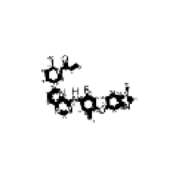 C=CC(=O)N1C[C@@H](c2ccc3ncnc(Nc4cc(C)c(Oc5ccc6c(c5)ncn6C)cc4F)c3n2)CC[C@H]1C